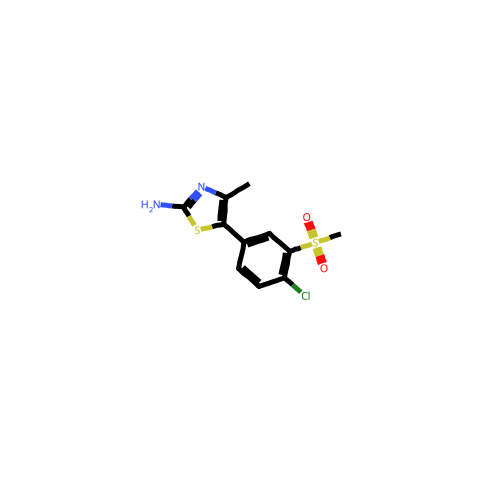 Cc1nc(N)sc1-c1ccc(Cl)c(S(C)(=O)=O)c1